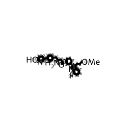 COCCCn1c([C@@H]2CCCN(C(=O)C[C@H](N)Cc3ccc(-c4ccc(O)nc4)cc3)C2)nc2c(F)cccc21